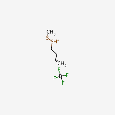 C=CCC[SH+]SC.F[B-](F)(F)F